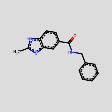 Cc1nc2cc(C(=O)NCc3ccccc3)ccc2[nH]1